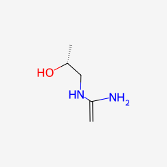 C=C(N)NC[C@@H](C)O